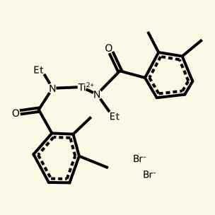 CC[N]([Ti+2][N](CC)C(=O)c1cccc(C)c1C)C(=O)c1cccc(C)c1C.[Br-].[Br-]